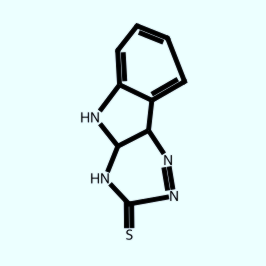 S=C1N=NC2c3ccccc3NC2N1